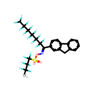 O=S(=O)(ON=C(c1ccc2c(c1)Cc1ccccc1-2)C(F)(F)C(F)(F)C(F)(F)C(F)(F)C(F)(F)C(F)F)C(F)(F)C(F)(F)C(F)(F)C(F)(F)F